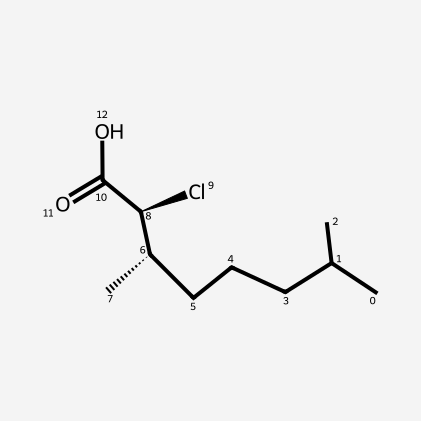 CC(C)CCC[C@H](C)[C@H](Cl)C(=O)O